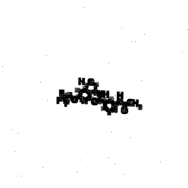 CCC(NC(=O)c1ccnc(NC(C)=O)c1)c1ccc(OCC(F)(F)F)nc1